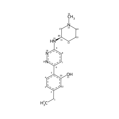 CCc1ccc(-c2ccc(N[C@@H]3CCCN(C)C3)nn2)c(O)c1